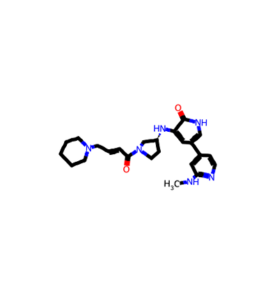 CNc1cc(-c2c[nH]c(=O)c(N[C@@H]3CCN(C(=O)C=CCN4CCCCC4)C3)c2)ccn1